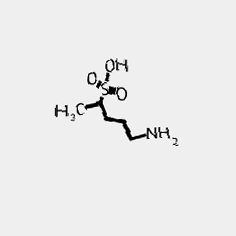 CC(CCCN)S(=O)(=O)O